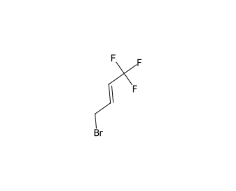 FC(F)(F)C=CCBr